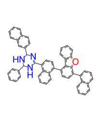 c1ccc(C2NC(c3ccc(-c4ccc(-c5cccc6ccccc56)c5oc6ccccc6c45)c4ccccc34)=NC(c3ccc4ccccc4c3)N2)cc1